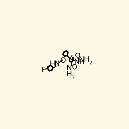 NC(=O)Nc1sc(-c2ccccc2OCCNCc2ccc(F)cc2)cc1C(N)=O